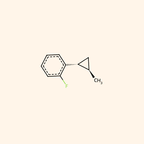 C[C@@H]1C[C@H]1c1ccccc1F